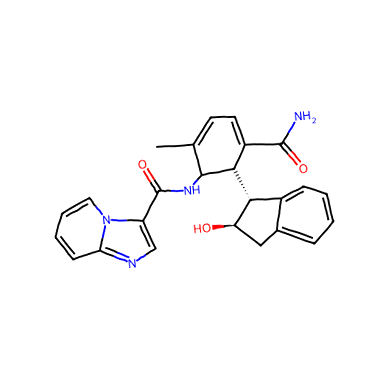 CC1=CC=C(C(N)=O)C([C@@H]2c3ccccc3C[C@H]2O)C1NC(=O)c1cnc2ccccn12